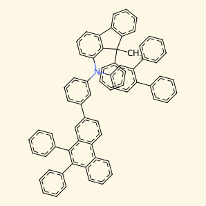 CC1(c2ccccc2)c2ccccc2-c2cccc(N(c3cccc(-c4ccc5c(c4)c(-c4ccccc4)c(-c4ccccc4)c4ccccc45)c3)c3ccc(-c4ccccc4)c(-c4ccccc4)c3)c21